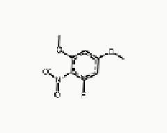 COc1cc(F)c([N+](=O)[O-])c(OC)c1